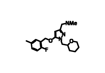 CNCc1cc(OCc2cc(C)ccc2F)n(CC2CCCCO2)n1